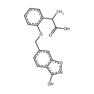 CC(C(=O)O)c1ccccc1OCc1ccc2c(O)noc2c1